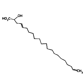 C=CCCCCCCCCCCCCCCCC=CCC(O)C(=O)O